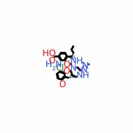 CCC[C@@H](NC(=O)N1C/C(=N\N(C)C)NC[C@H](Cc2cc(Cl)ccc2OC)C1=O)c1ccc(C(=O)O)c(N)c1